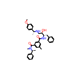 COc1ccc([C@@H](C)NC[C@@H](O)[C@H](Cc2ccccc2)NC(=O)c2cc(C)cc(C(=O)N(C)[C@@H](C)c3ccccc3)c2)cc1